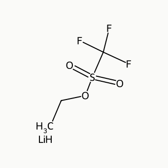 CCOS(=O)(=O)C(F)(F)F.[LiH]